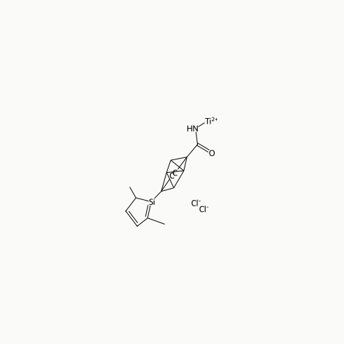 CC1=[Si](C23CCC4(C(=O)[NH][Ti+2])C5C46C2C536)C(C)C=C1.[Cl-].[Cl-]